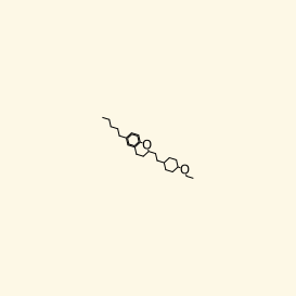 CCCCCc1ccc2c(c1)CCC(CCC1CCC(OCC)CC1)O2